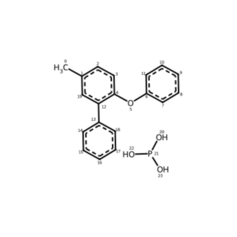 Cc1ccc(Oc2ccccc2)c(-c2ccccc2)c1.OP(O)O